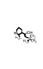 CC1NCCC[C@H]1[C@H](O)C[Si](C)(C)C